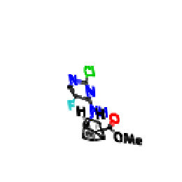 COC(=O)[C@H]1C2CCC(CC2)[C@H]1Nc1nc(Cl)ncc1F